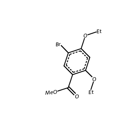 CCOc1cc(OCC)c(C(=O)OC)cc1Br